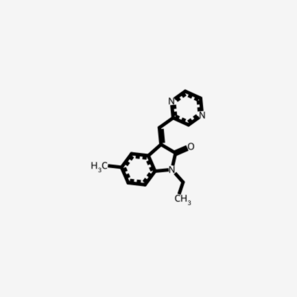 CCN1C(=O)/C(=C\c2cnccn2)c2cc(C)ccc21